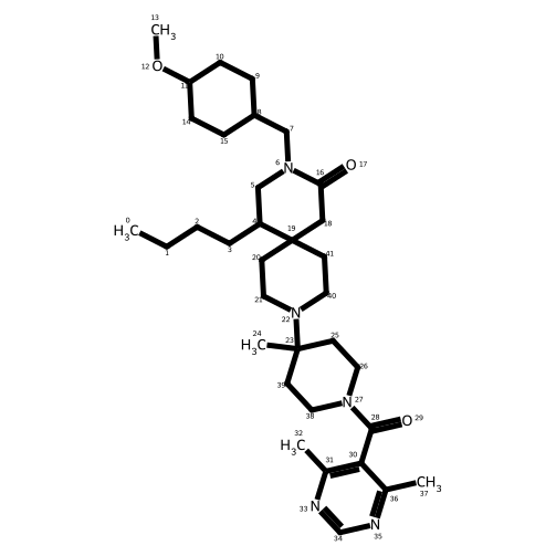 CCCCC1CN(CC2CCC(OC)CC2)C(=O)CC12CCN(C1(C)CCN(C(=O)c3c(C)ncnc3C)CC1)CC2